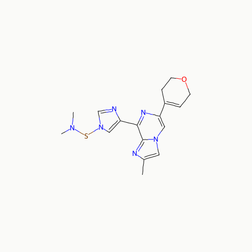 Cc1cn2cc(C3=CCOCC3)nc(-c3cn(SN(C)C)cn3)c2n1